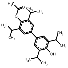 CC(=O)Oc1c(C(C)C)cc(-c2cc(C(C)C)c(O)c(C(C)C)c2)cc1C(C)C